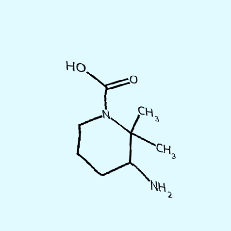 CC1(C)C(N)CCCN1C(=O)O